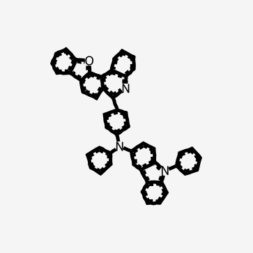 c1ccc(N(c2ccc(-c3nc4ccccc4c4c3ccc3c5ccccc5oc34)cc2)c2ccc3c(c2)c2ccccc2n3-c2ccccc2)cc1